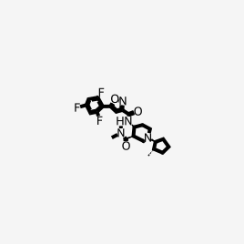 C[C@H]1CCC[C@@H]1N1CC[C@@H](NC(=O)c2cc(-c3c(F)cc(F)cc3F)on2)[C@H](C(=O)N(C)C)C1